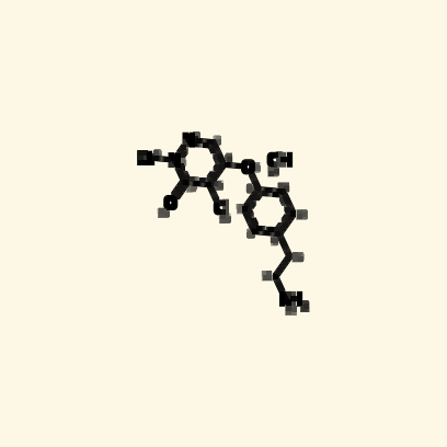 CCn1ncc(Oc2ccc(CCN)cc2)c(Cl)c1=O.Cl